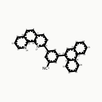 N#Cc1cc(-c2ccc3ccc4cccnc4c3n2)cc(-c2cc3ccccc3c3ccccc23)c1